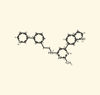 Cc1nc(NCCc2cccc(-c3cccnc3)c2)cc(-c2ccc3cc[nH]c3c2)n1